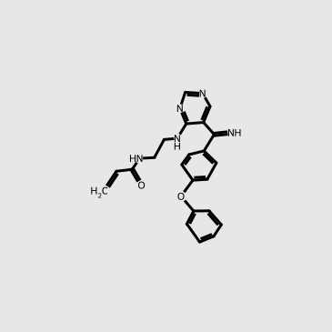 C=CC(=O)NCCNc1ncncc1C(=N)c1ccc(Oc2ccccc2)cc1